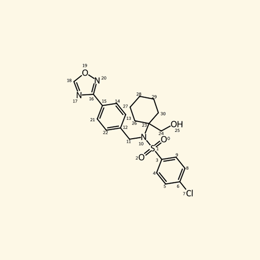 O=S(=O)(c1ccc(Cl)cc1)N(Cc1ccc(-c2ncon2)cc1)C1(CO)CCCCC1